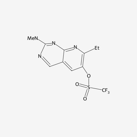 CCc1nc2nc(NC)ncc2cc1OS(=O)(=O)C(F)(F)F